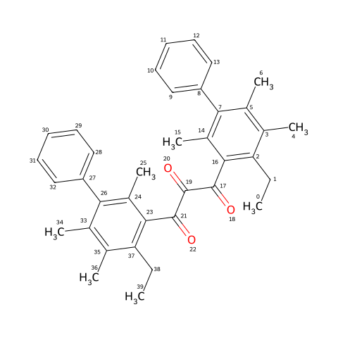 CCc1c(C)c(C)c(-c2ccccc2)c(C)c1C(=O)C(=O)C(=O)c1c(C)c(-c2ccccc2)c(C)c(C)c1CC